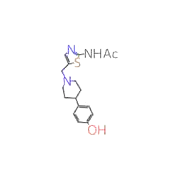 CC(=O)Nc1ncc(CN2CCC(c3ccc(O)cc3)CC2)s1